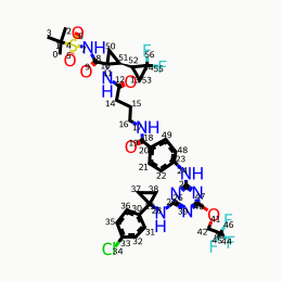 CC(C)(C)S(=O)(=O)NC(=O)[C@@]1(NC(=O)CCCNC(=O)c2ccc(Nc3nc(NC4(c5ccc(Cl)cc5)CC4)nc(OCC(F)(F)F)n3)cc2)C[C@H]1C1CC1(F)F